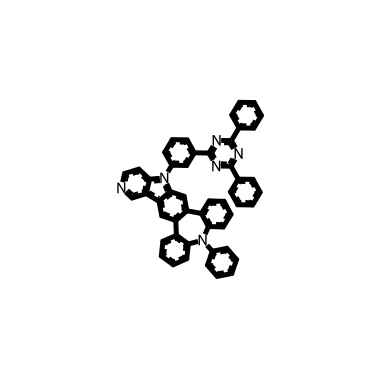 c1ccc(-c2nc(-c3ccccc3)nc(-c3cccc(-n4c5ccncc5c5cc6c(cc54)-c4ccccc4N(c4ccccc4)c4ccccc4-6)c3)n2)cc1